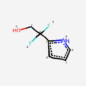 OCC(F)(F)c1ccc[nH]1